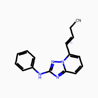 N#CC/C=C/c1cccc2nc(Nc3ccccc3)nn12